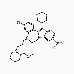 COCC1CCCCN1CCCN1CCn2c(c(C3CCCCC3)c3ccc(C(=O)O)cc32)-c2ccc(Cl)cc21